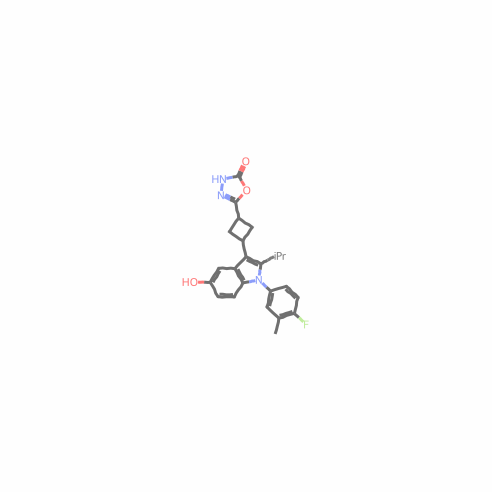 Cc1cc(-n2c(C(C)C)c(C3CC(c4n[nH]c(=O)o4)C3)c3cc(O)ccc32)ccc1F